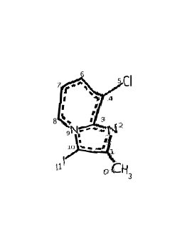 Cc1nc2c(Cl)cccn2c1I